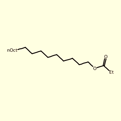 CCCCCCCCCCCCCCCCCOC(=O)CC